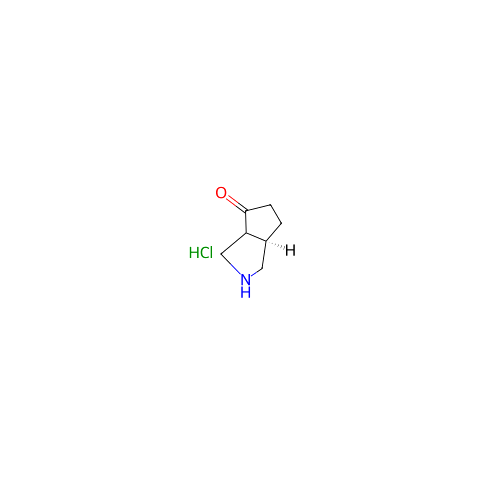 Cl.O=C1CC[C@H]2CNCC12